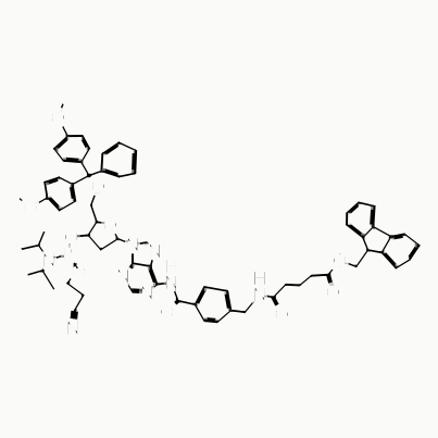 COc1ccc(C(OCC2OC(n3cnc4c(NC(=O)c5ccc(CNC(=O)CCCC(=O)OCC6c7ccccc7-c7ccccc76)cc5)ncnc43)CC2OP(OCCC#N)N(C(C)C)C(C)C)(c2ccccc2)c2ccc(OC)cc2)cc1